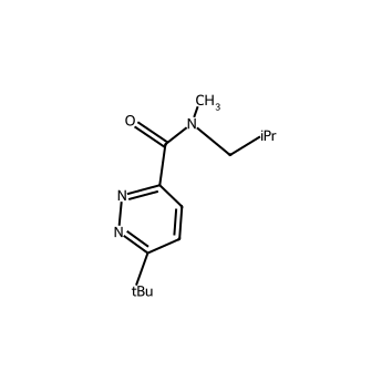 CC(C)CN(C)C(=O)c1ccc(C(C)(C)C)nn1